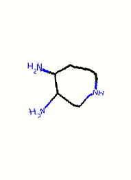 NC1CCNCC1N